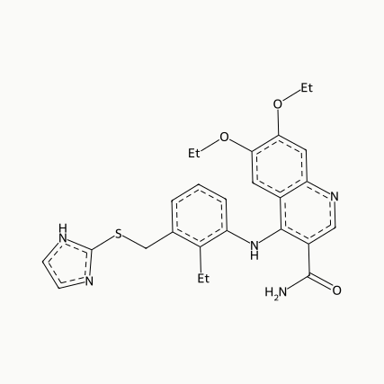 CCOc1cc2ncc(C(N)=O)c(Nc3cccc(CSc4ncc[nH]4)c3CC)c2cc1OCC